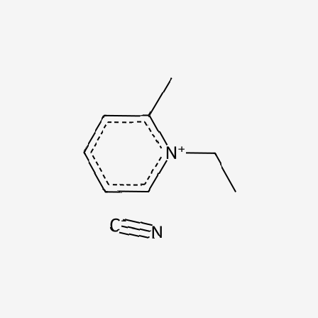 CC[n+]1ccccc1C.[C-]#N